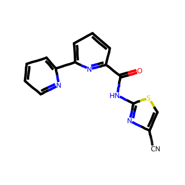 N#Cc1csc(NC(=O)c2cccc(-c3ccccn3)n2)n1